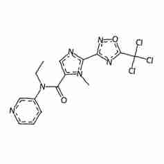 CCN(C(=O)c1cnc(-c2noc(C(Cl)(Cl)Cl)n2)n1C)c1cccnc1